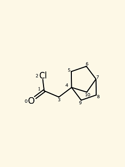 O=C(Cl)CC12CCC(CC1)C2